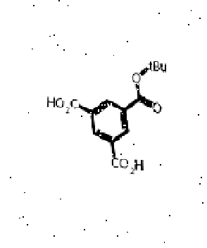 CC(C)(C)OC(=O)c1cc(C(=O)O)cc(C(=O)O)c1